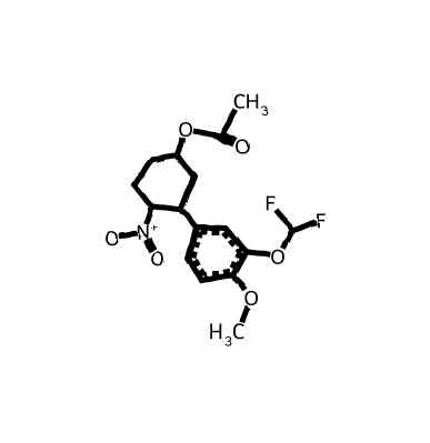 COc1ccc(C2CC(OC(C)=O)CCC2[N+](=O)[O-])cc1OC(F)F